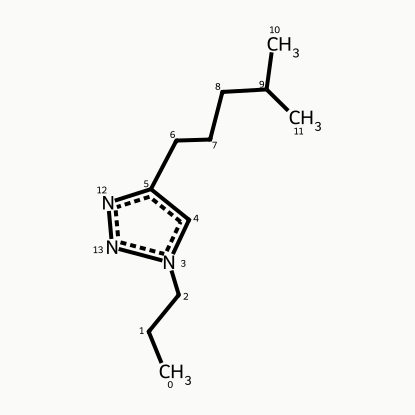 CCCn1cc(CCCC(C)C)nn1